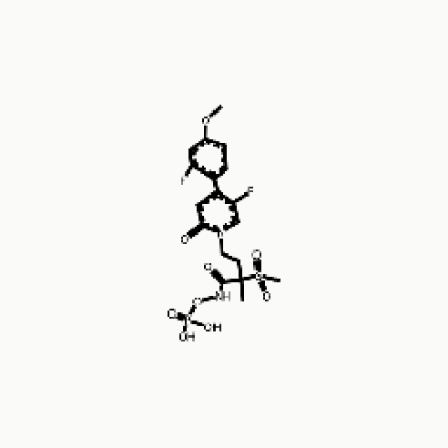 COc1ccc(-c2cc(=O)n(CCC(C)(C(=O)NOP(=O)(O)O)S(C)(=O)=O)cc2F)c(F)c1